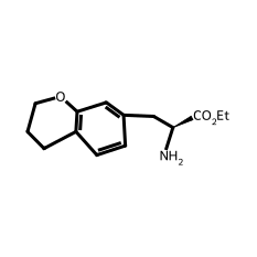 CCOC(=O)[C@@H](N)Cc1ccc2c(c1)OCCC2